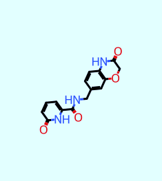 O=C1COc2cc(CNC(=O)c3cccc(=O)[nH]3)ccc2N1